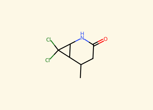 CC1CC(=O)NC2C1C2(Cl)Cl